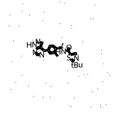 Cc1cc(-c2ncnc3[nH]ncc23)ccc1[C@@H](C)NC(=O)c1cnc(C(C)(C)C)s1